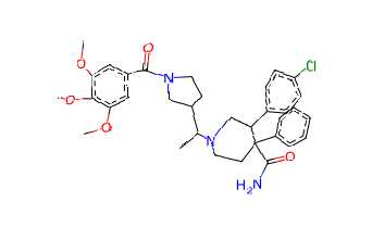 COc1cc(C(=O)N2CCC(C(C)N3CCC(C(N)=O)(c4ccccc4)C(c4ccc(Cl)cc4)C3)C2)cc(OC)c1OC